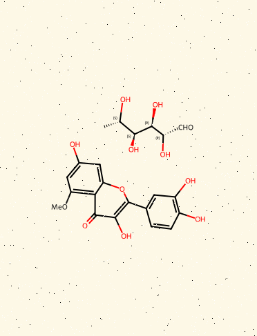 COc1cc(O)cc2oc(-c3ccc(O)c(O)c3)c(O)c(=O)c12.C[C@H](O)[C@H](O)[C@@H](O)[C@@H](O)C=O